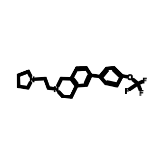 FC(F)(F)Oc1ccc(-c2ccc3c(c2)CCN(CCN2CCCC2)C3)cc1